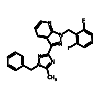 Cc1nc(-c2nn(Cc3c(F)cccc3F)c3ncccc23)nn1Cc1ccccc1